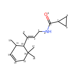 C/C(=C\CNC(=O)C1CC1)C1C(C)C=CCC1(C)C